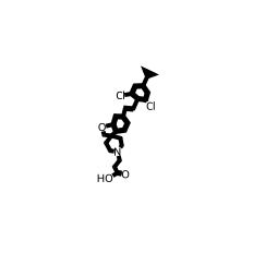 O=C(O)CCN1CCC2(CC1)COc1cc(C=Cc3c(Cl)cc(C4CC4)cc3Cl)ccc12